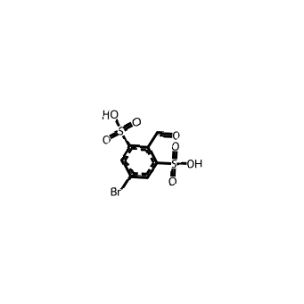 O=Cc1c(S(=O)(=O)O)cc(Br)cc1S(=O)(=O)O